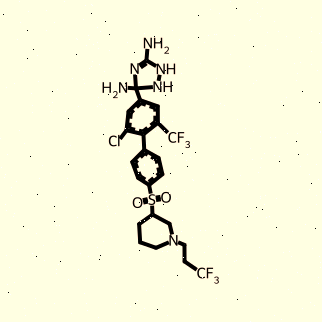 NC1=NC(N)(c2cc(Cl)c(-c3ccc(S(=O)(=O)C4CCCN(CCC(F)(F)F)C4)cc3)c(C(F)(F)F)c2)NN1